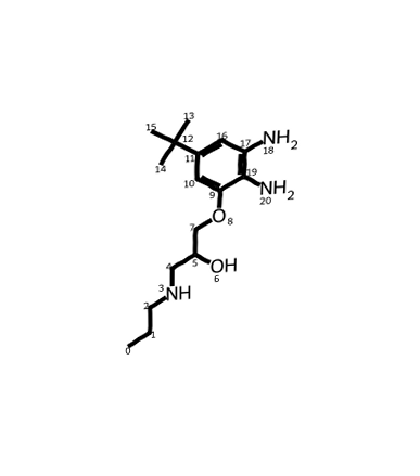 CCCNCC(O)COc1cc(C(C)(C)C)cc(N)c1N